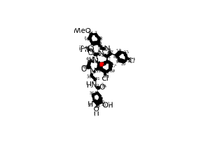 COc1ccc(C2=N[C@@H](c3ccc(Cl)cc3)[C@@H](c3ccc(Cl)cc3)N2C(=O)N2CCN(CCNC(=O)[C@H]3C[C@@H]4CC3[C@H](O)[C@@H]4O)C(=O)C2)c(OC(C)C)c1